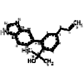 C=CCc1ccc(C(C)(C)O)c(-c2ccc3[nH]cnc3c2)c1